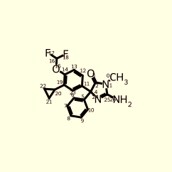 CN1C(=O)C(c2ccccc2)(c2ccc(OC(F)F)c(C3CC3)c2)N=C1N